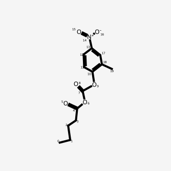 CCCCC(=O)OC(=O)Oc1ccc([N+](=O)[O-])cc1C